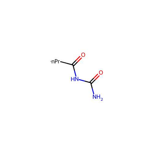 CC[CH]C(=O)NC(N)=O